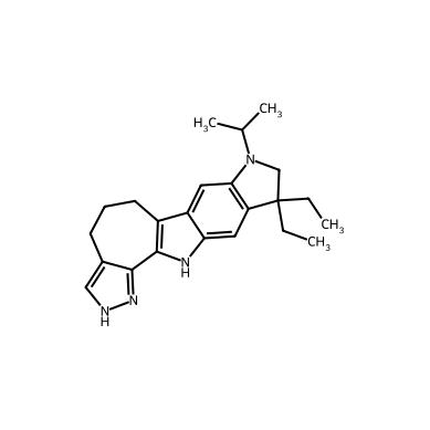 CCC1(CC)CN(C(C)C)c2cc3c4c([nH]c3cc21)-c1n[nH]cc1CCC4